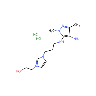 Cc1nn(C)c(NCCCn2cc[n+](CCO)c2)c1N.Cl.Cl